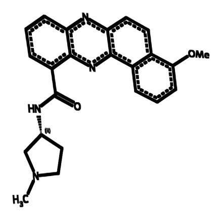 COc1cccc2c1ccc1nc3cccc(C(=O)N[C@@H]4CCN(C)C4)c3nc12